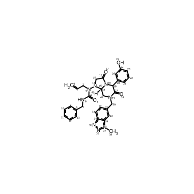 C=CCN(C(=O)NCc1ccccc1)N1CC(=O)N2C(c3cccc(O)c3)C(=O)N(Cc3ccc4nnn(C)c4c3)C[C@@H]21